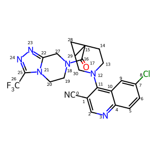 N#Cc1cnc2ccc(Cl)cc2c1N1CCC2(C(=O)N3CCn4c(nnc4C(F)(F)F)C3)CC2C1